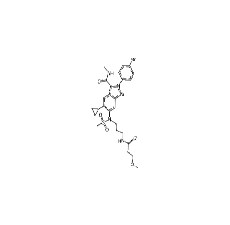 CNC(=O)c1c2cc(C3CC3)c(N(CCCNC(=O)CCOC)S(C)(=O)=O)cc2nn1-c1ccc(Br)cc1